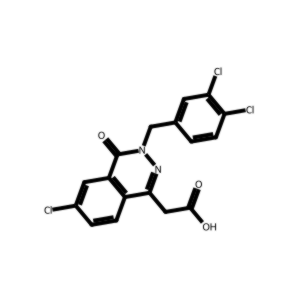 O=C(O)Cc1nn(Cc2ccc(Cl)c(Cl)c2)c(=O)c2cc(Cl)ccc12